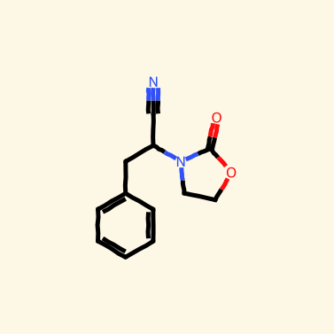 N#CC(Cc1ccccc1)N1CCOC1=O